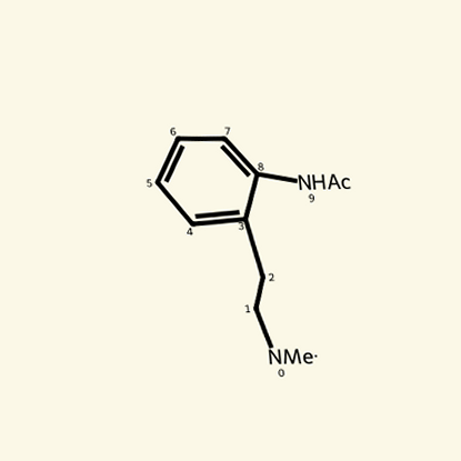 C[N]CCc1ccccc1NC(C)=O